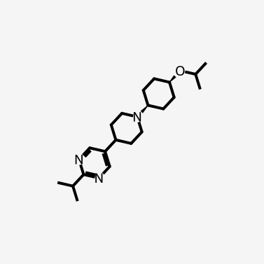 CC(C)O[C@H]1CC[C@@H](N2CCC(c3cnc(C(C)C)nc3)CC2)CC1